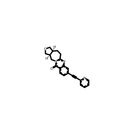 O=c1c2ccc(C#Cc3ccccn3)cc2nc2n1C[C@H]1COC[C@H]1CC2